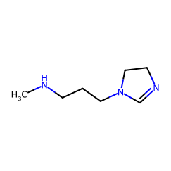 CNCCCN1C=NCC1